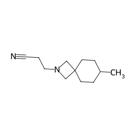 CC1CCC2(CC1)CN(CCC#N)C2